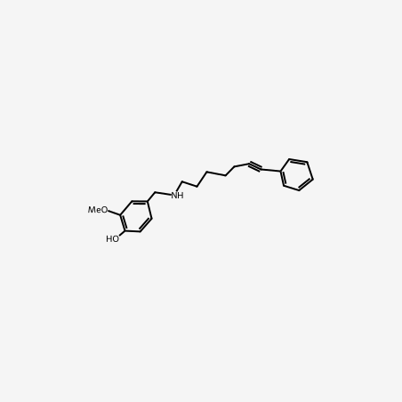 COc1cc(CNCCCCCC#Cc2ccccc2)ccc1O